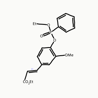 CCOC(=O)/C=C/c1ccc(OP(=O)(OCC)c2ccccc2)c(OC)c1